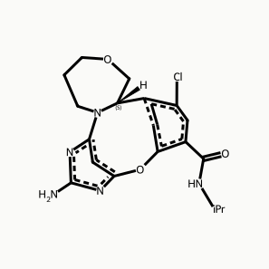 CC(C)NC(=O)c1cc(Cl)c2cc1Oc1cc(nc(N)n1)N1CCCOC[C@H]21